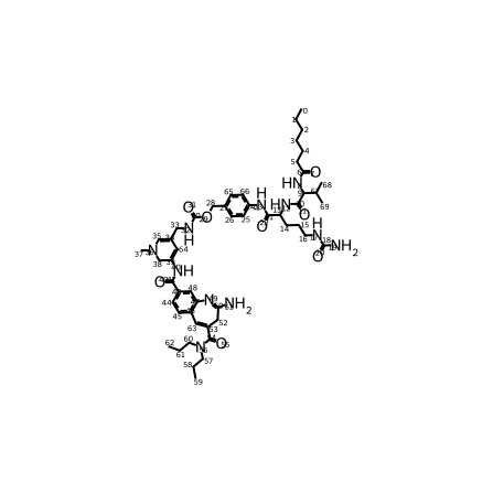 CCCCCCC(=O)NC(C(=O)NC(CCCNC(N)=O)C(=O)Nc1ccc(COC(=O)NCC2=CN(C)CC(NC(=O)c3ccc4c(c3)N=C(N)CC(C(=O)N(CCC)CCC)=C4)=C2)cc1)C(C)C